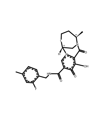 Cc1ccc(CNC(=O)c2cn3c(c(O)c2=O)C(=O)N2C[C@H]3CCC[C@H]2C)c(F)c1